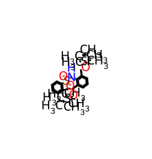 Cc1ccccc1S(=O)(=O)Nc1c(CO[Si](C)(C)C(C)(C)C)cccc1CO[Si](C)(C)C(C)(C)C